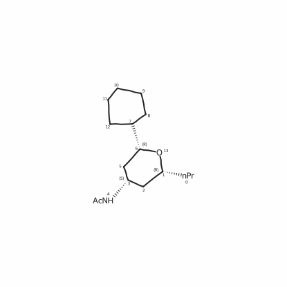 CCC[C@@H]1C[C@H](NC(C)=O)C[C@H](C2CCCCC2)O1